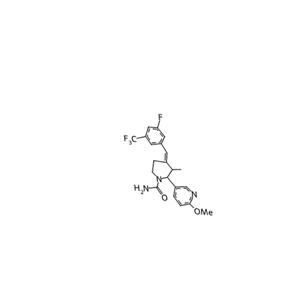 COc1ccc(C2C(C)C(=Cc3cc(F)cc(C(F)(F)F)c3)CCN2C(N)=O)cn1